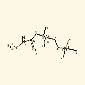 C[N+](C)(C)CC[N+](C)(C)CC(=O)NN